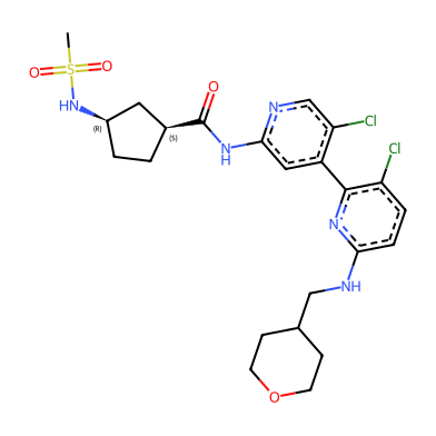 CS(=O)(=O)N[C@@H]1CC[C@H](C(=O)Nc2cc(-c3nc(NCC4CCOCC4)ccc3Cl)c(Cl)cn2)C1